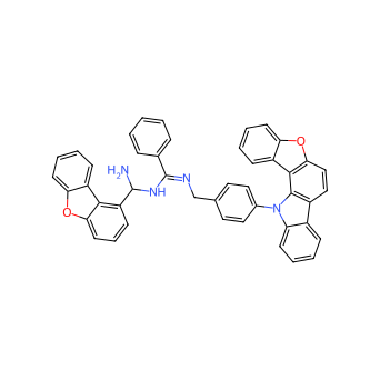 NC(N/C(=N\Cc1ccc(-n2c3ccccc3c3ccc4oc5ccccc5c4c32)cc1)c1ccccc1)c1cccc2oc3ccccc3c12